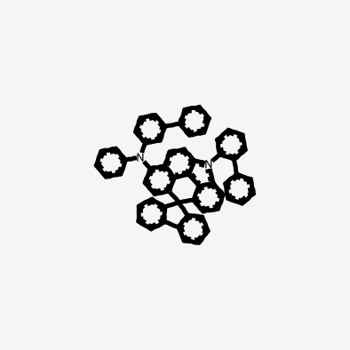 c1ccc(-c2cccc(N(c3ccccc3)c3ccc4c5c3ccc3c5c5c(cccc5n3-c3ccccc3-c3ccccc3)C43c4ccccc4-c4ccccc43)c2)cc1